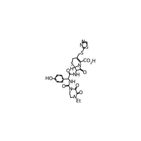 CCN1CCN(C(=O)NC(C(=O)NC2C(=O)N3C(C(=O)O)=C(CSc4nncs4)CS[C@@H]23)c2ccc(O)cc2)C(=O)C1=O